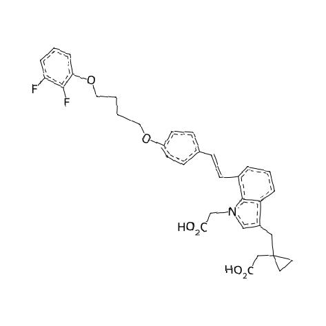 O=C(O)Cn1cc(CC2(CC(=O)O)CC2)c2cccc(C=Cc3ccc(OCCCCOc4cccc(F)c4F)cc3)c21